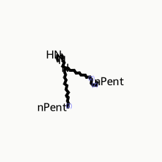 CCCCC/C=C\CC=CCCCCCCCCN(CCCCCCCC/C=C\C/C=C\CCCCC)CCN1CCNCC1